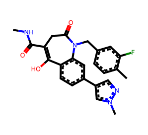 CNC(=O)C1=C(O)c2ccc(-c3cnn(C)c3)cc2N(Cc2ccc(C)c(F)c2)C(=O)C1